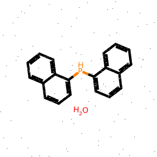 O.c1ccc2c(Pc3cccc4ccccc34)cccc2c1